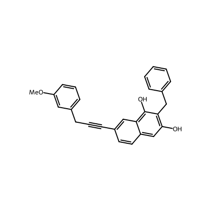 COc1cccc(CC#Cc2ccc3cc(O)c(Cc4ccccc4)c(O)c3c2)c1